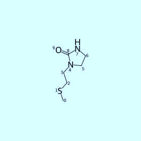 CSCCN1CCNC1=O